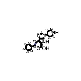 O=C(O)c1[nH]c2c(ncn2C2CCNCC2)c1/C=C/c1ccccc1